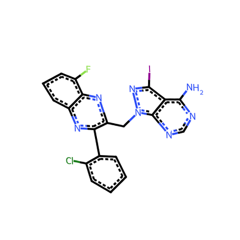 Nc1ncnc2c1c(I)nn2Cc1nc2c(F)cccc2nc1-c1ccccc1Cl